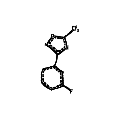 Fc1[c]ccc(-c2noc(C(F)(F)F)n2)c1